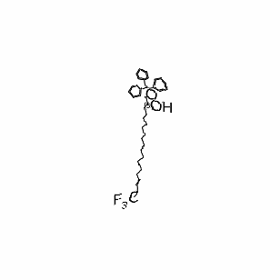 O[C@@H](CCCCCCCCCCCCCCCCC(F)(F)F)COC(c1ccccc1)(c1ccccc1)c1ccccc1